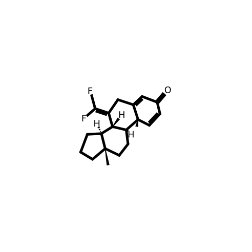 C[C@@]12CCC[C@H]1[C@@H]1C(=C(F)F)CC3=CC(=O)C=C[C@]3(C)[C@H]1CC2